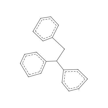 [c]1ccc(C(Cc2ccccc2)c2ccccc2)cc1